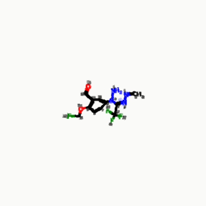 C=N/N=C(\N(N)c1ccc(OCF)c(C=O)c1)C(F)(F)F